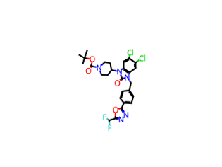 CC(C)(C)OC(=O)N1CCC(n2c(=O)n(Cc3ccc(-c4nnc(C(F)F)o4)cc3)c3cc(Cl)c(Cl)cc32)CC1